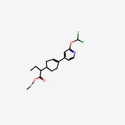 CCOC(=O)C(CC)C1CC=C(c2ccnc(OC(F)F)c2)CC1